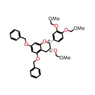 COCOc1ccc([C@H]2Oc3cc(OCc4ccccc4)cc(OCc4ccccc4)c3C[C@H]2OCOC)cc1OCOC